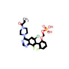 C=CC(=O)N1CCN(c2ncnc3c(F)c(-c4c(F)cccc4OCOP(=O)(O)O)c(Cl)cc23)CC1